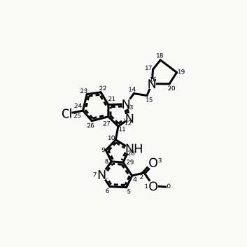 COC(=O)c1ccnc2cc(-c3nn(CCN4CCCC4)c4ccc(Cl)cc34)[nH]c12